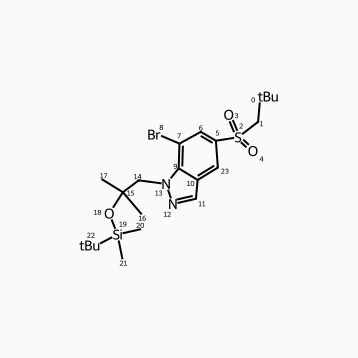 CC(C)(C)CS(=O)(=O)c1cc(Br)c2c(cnn2CC(C)(C)O[Si](C)(C)C(C)(C)C)c1